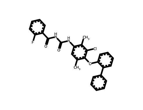 Cc1cc(NC(=O)NC(=O)c2ccccc2F)c(C)c(Cl)c1Oc1ccccc1-c1ccccc1